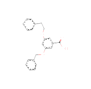 C[C@@H](Cc1ccccc1)Oc1cc(OCc2ccccc2)cc(C(=O)O)c1